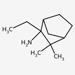 CCC1(N)C2CCC(C2)C1(C)C